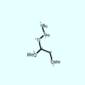 CCCC[SiH]OC(COC)OC